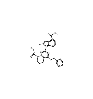 Cc1cc2c(C(N)=O)cccc2n1-c1nc(NCc2ccccc2)c2c(n1)N(C(=O)OC(C)(C)C)CCC2